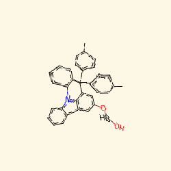 Cc1ccc(C2(c3ccc(C)cc3)c3ccccc3-n3c4ccccc4c4cc(OBO)cc2c43)cc1